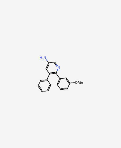 COc1cccc(-c2ncc(N)cc2-c2ccccc2)c1